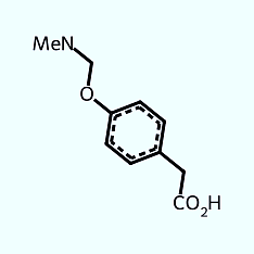 CNCOc1ccc(CC(=O)O)cc1